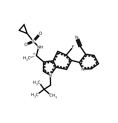 C[C@H](NS(=O)(=O)C1CC1)c1cn(CC(C)(C)C)c2cc(-c3ncccc3C#N)c(F)cc12